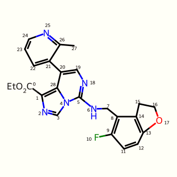 CCOC(=O)c1ncn2c(NCc3c(F)ccc4c3CCO4)ncc(-c3cccnc3C)c12